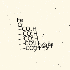 CC(=O)O.CC(=O)O.CC(=O)O.CC(=O)O.CC(=O)O.CC(=O)O.[Cr].[Cr].[Fe].[Fe]